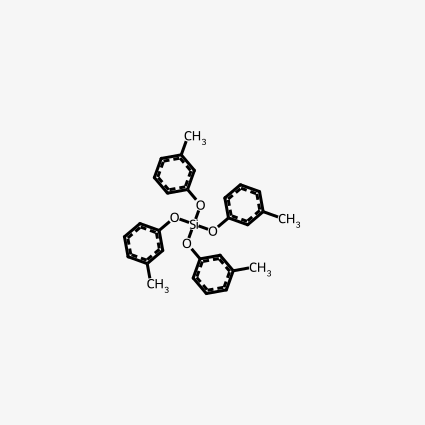 Cc1cccc(O[Si](Oc2cccc(C)c2)(Oc2cccc(C)c2)Oc2cccc(C)c2)c1